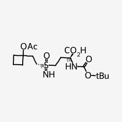 CC(=O)OC1(CC[S@](=N)(=O)CC[C@H](NC(=O)OC(C)(C)C)C(=O)O)CCC1